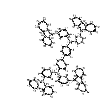 c1cc(N(c2ccc(-c3ccc(N(c4cccc(-n5c6ccccc6c6ccccc65)c4)c4cccc(-n5c6ccccc6c6ccccc65)c4)cc3)cc2)c2cccc(-n3c4ccccc4c4ccccc43)c2)cc(-n2c3ccccc3c3ccccc32)c1